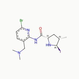 C[C@H]1C[C@@H](C(=O)Nc2nc(Br)ccc2CN(C)C)N[C@@H]1I